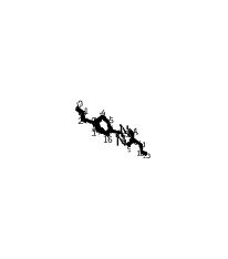 C=CCc1ccc(-c2ncc(CC=C)cn2)cc1